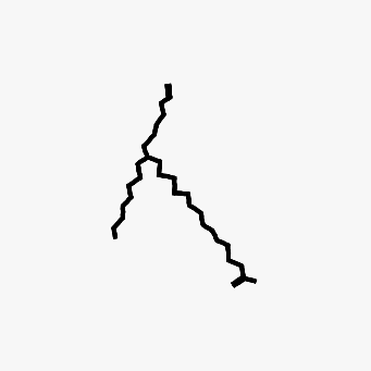 C=CCCCCCC(CCCCCCCC)CCCCCCCCCCCCCC(=C)C